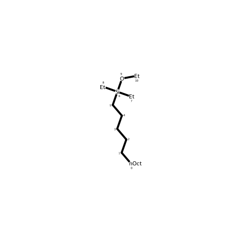 CCCCCCCCCCCCC[Si](CC)(CC)OCC